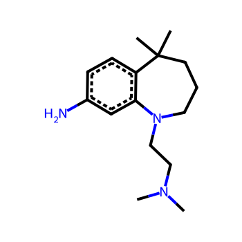 CN(C)CCN1CCCC(C)(C)c2ccc(N)cc21